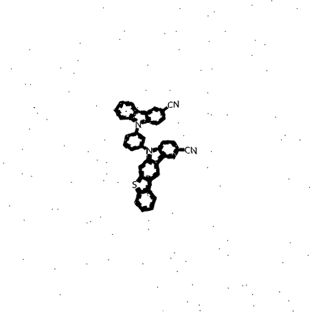 N#Cc1ccc2c(c1)c1ccccc1n2-c1cccc(-n2c3ccc(C#N)cc3c3cc4c(cc32)sc2ccccc24)c1